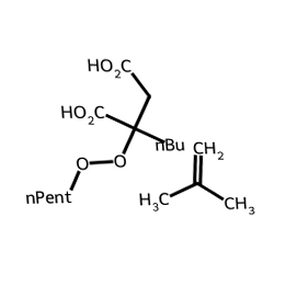 C=C(C)C.CCCCCOOC(CCCC)(CC(=O)O)C(=O)O